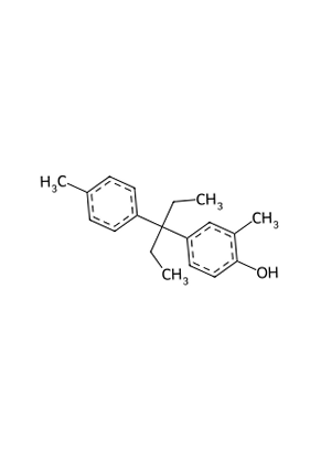 CCC(CC)(c1ccc(C)cc1)c1ccc(O)c(C)c1